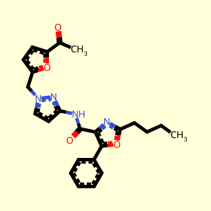 CCCCc1nc(C(=O)Nc2ccn(Cc3ccc(C(C)=O)o3)n2)c(-c2ccccc2)o1